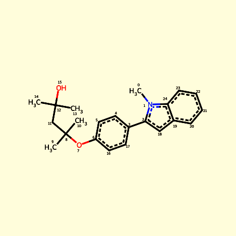 Cn1c(-c2ccc(OC(C)(C)CC(C)(C)O)cc2)cc2ccccc21